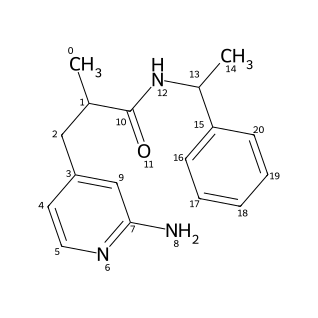 CC(Cc1ccnc(N)c1)C(=O)NC(C)c1ccccc1